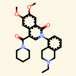 CCN1CCc2c(cccc2-n2cc(C(=O)N3CCCCC3)c3cc(OC)c(OC)cc3c2=O)C1